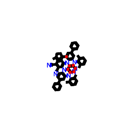 Cc1cccc(C)c1N1c2cnccc2N(c2c(C#N)c(C#N)c3c(c2N2c4ccncc4N(c4c(C)cccc4C)c4cc(-c5ccccc5)ccc42)C2(C)CCC3(C)C2)c2ccc(-c3ccccc3)cc21